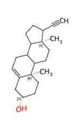 C#CC1CCC2C3CC=C4C[C@@H](O)CC[C@]4(C)C3CC[C@]12C